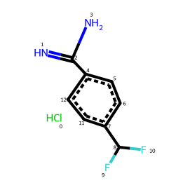 Cl.N=C(N)c1ccc(C(F)F)cc1